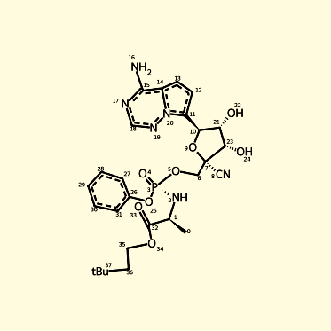 C[C@H](N[P@](=O)(OC[C@@]1(C#N)O[C@@H](c2ccc3c(N)ncnn23)[C@H](O)[C@@H]1O)Oc1ccccc1)C(=O)OCCC(C)(C)C